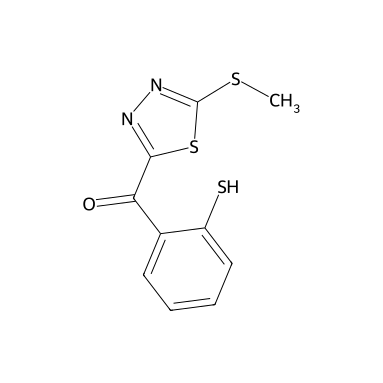 CSc1nnc(C(=O)c2ccccc2S)s1